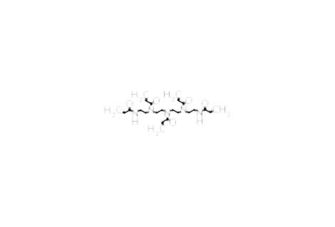 C=CC(=O)NCCN(CCN(CCN(CCNC(=O)C=C)C(=O)C=C)C(=O)C=C)C(=O)C=C